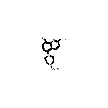 Cc1ccc2c(N3CCN(C(=O)O)CC3)ccc(Cl)c2n1